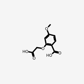 COc1ccc(C(=O)O)c(OCC(=O)O)c1